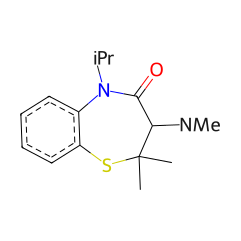 CNC1C(=O)N(C(C)C)c2ccccc2SC1(C)C